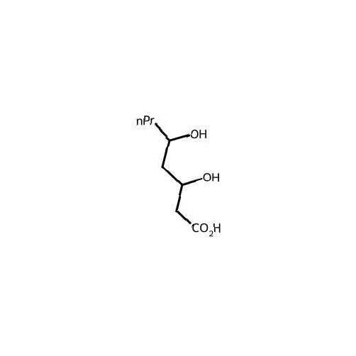 CCCC(O)CC(O)CC(=O)O